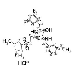 CCCC(CCC)S(=O)(=O)CCC(=O)N[C@@H](Cc1cc(F)cc(F)c1)[C@H](O)CNCc1cccc(CC)c1.Cl